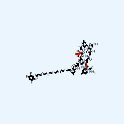 CC[C@H](NC(=O)[C@H](C)NC(=O)[C@H](CC(C)C)NC(=O)[C@H](CC(=O)O)NC(=O)CNC(=O)CCCCNc1cc(C)ccn1)C(=O)N[C@@H](CC(C)C)C(=O)N[C@@H](CCCNC(N)=O)C(=O)NC(C)(C)C(=O)N[C@@H](CC(C)C)C(=O)NCCOCCOCCOCCOCCOCCC(=O)Oc1c(F)c(F)cc(F)c1F